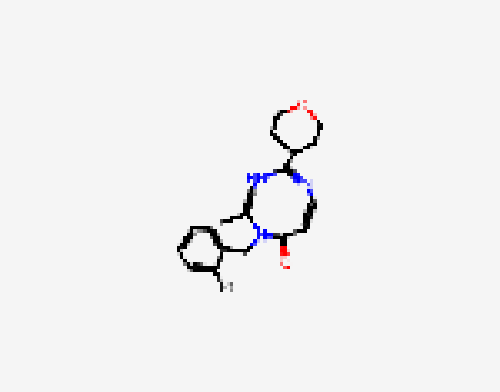 CCc1ccccc1Cn1c(C)c[nH]c(C2CCOCC2)nccc1=O